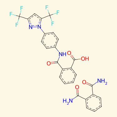 NC(=O)c1ccccc1C(N)=O.O=C(O)c1ccccc1C(=O)Nc1ccc(-n2nc(C(F)(F)F)cc2C(F)(F)F)cc1